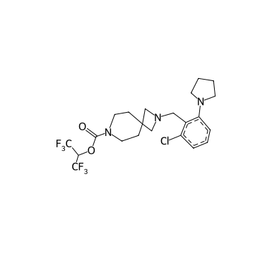 O=C(OC(C(F)(F)F)C(F)(F)F)N1CCC2(CC1)CN(Cc1c(Cl)cccc1N1CCCC1)C2